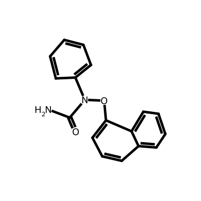 NC(=O)N(Oc1cccc2ccccc12)c1ccccc1